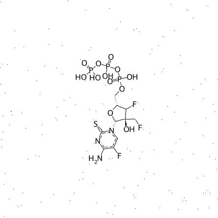 Nc1nc(=S)n([C@@H]2O[C@H](COP(=O)(O)OP(=O)(O)OP(=O)(O)O)C(F)[C@]2(O)CF)cc1F